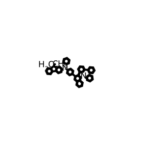 CC1(C)c2ccccc2-c2ccc(N(c3ccccc3)c3ccc(-c4cc5ccccc5c5c4c4cccc(-c6ccccc6)c4n5-c4ccccc4)cc3)cc21